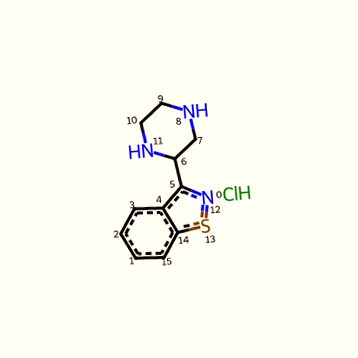 Cl.c1ccc2c(C3CNCCN3)nsc2c1